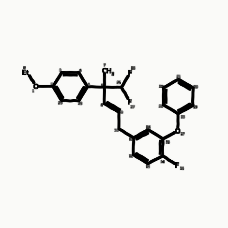 CCOc1ccc(C(C)(/C=C/Cc2ccc(F)c(Oc3ccccc3)c2)C(F)F)cc1